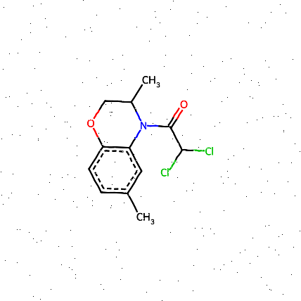 Cc1ccc2c(c1)N(C(=O)C(Cl)Cl)C(C)CO2